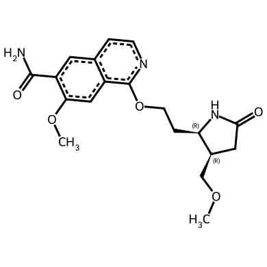 COC[C@@H]1CC(=O)N[C@@H]1CCOc1nccc2cc(C(N)=O)c(OC)cc12